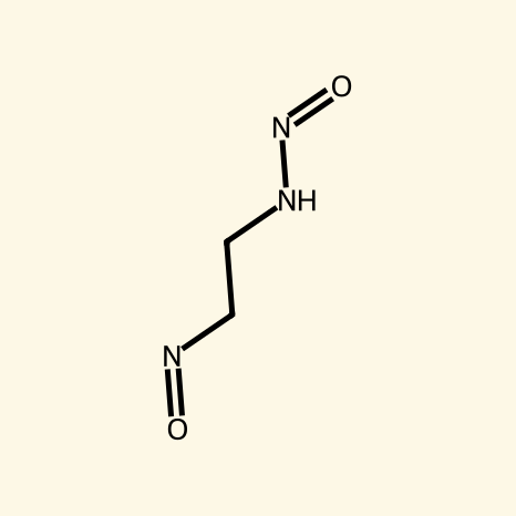 O=NCCNN=O